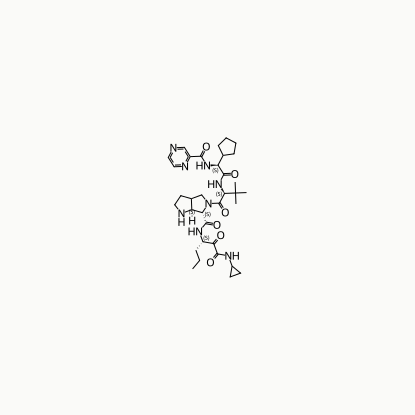 CCC[C@H](NC(=O)[C@@H]1[C@H]2NCCC2CN1C(=O)[C@@H](NC(=O)[C@@H](NC(=O)c1cnccn1)C1CCCC1)C(C)(C)C)C(=O)C(=O)NC1CC1